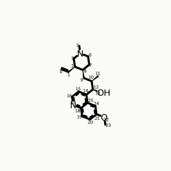 C=C[C@H]1CN(C)CC[C@H]1C[C@@H](C)[C@@H](O)c1ccnc2ccc(OC)cc12